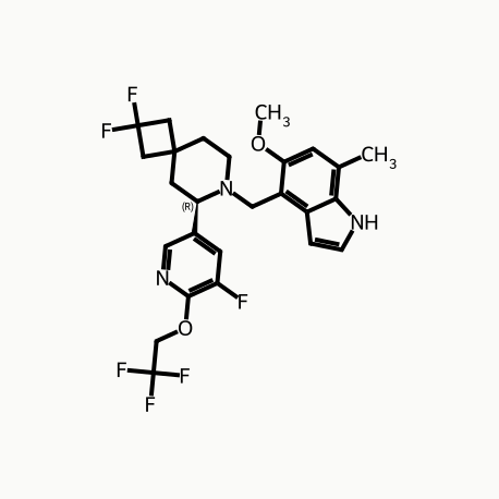 COc1cc(C)c2[nH]ccc2c1CN1CCC2(C[C@@H]1c1cnc(OCC(F)(F)F)c(F)c1)CC(F)(F)C2